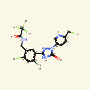 O=C(NCc1cc(-c2nn(-c3ccc(CF)nc3)c(=O)[nH]2)c(Cl)cc1F)C(F)(F)F